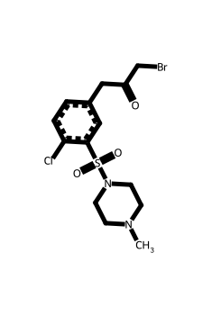 CN1CCN(S(=O)(=O)c2cc(CC(=O)CBr)ccc2Cl)CC1